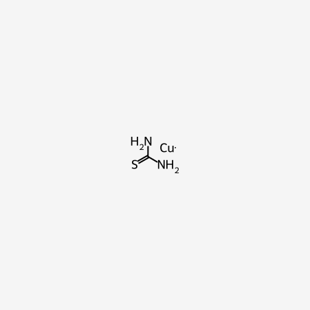 NC(N)=S.[Cu]